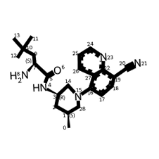 C[C@H]1C[C@@H](NC(=O)[C@@H](N)CC(C)(C)C)CN(c2ccc(C#N)c3ncccc23)C1